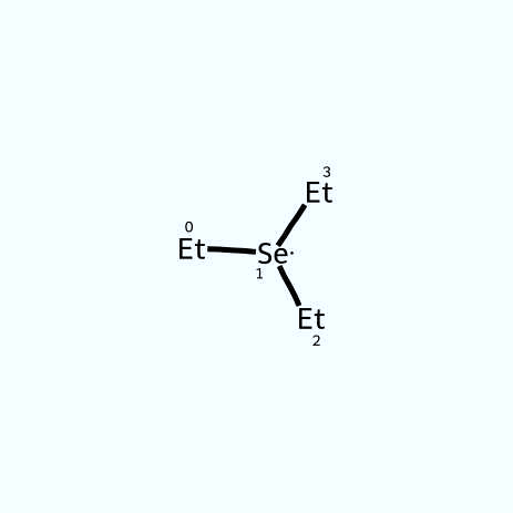 CC[Se](CC)CC